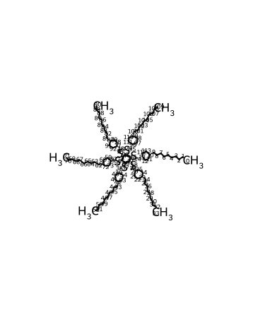 CCCCCCCCCC[C@H]1CC[C@H](CSc2c(SC[C@H]3CC[C@H](CCCCCCCCCC)CC3)c(SC[C@H]3CC[C@H](CCCCCCCCCC)CC3)c(SC[C@H]3CC[C@H](CCCCCCCCCC)CC3)c(SC[C@H]3CC[C@H](CCCCCCCCCC)CC3)c2SC[C@H]2CC[C@H](CCCCCCCCCC)CC2)CC1